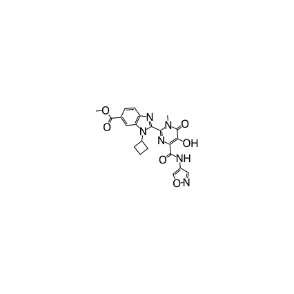 COC(=O)c1ccc2nc(-c3nc(C(=O)Nc4cnoc4)c(O)c(=O)n3C)n(C3CCC3)c2c1